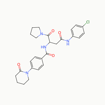 O=C(CC(NC(=O)c1ccc(N2CCCCC2=O)cc1)C(=O)N1CCCC1)Nc1ccc(Cl)cc1